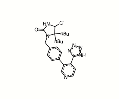 CCCCC1(CCCC)C(Cl)NC(=O)N1Cc1ccc(-c2cnccc2-c2nnn[nH]2)cc1